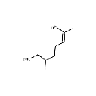 CCC/C(C)=C\CCC(C)CC=O